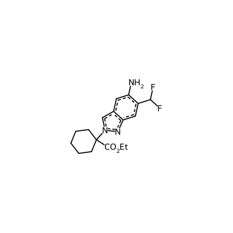 CCOC(=O)C1(n2cc3cc(N)c(C(F)F)cc3n2)CCCCC1